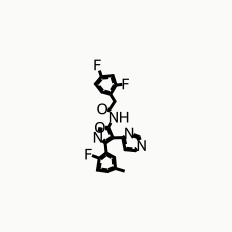 Cc1ccc(F)c(-c2noc(NC(=O)Cc3ccc(F)cc3F)c2-c2ccncn2)c1